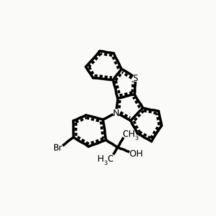 CC(C)(O)c1cc(Br)ccc1-n1c2ccccc2c2sc3ccccc3c21